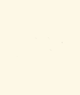 Bc1nc([N+](=O)[O-])c(COC(C)=O)n1C